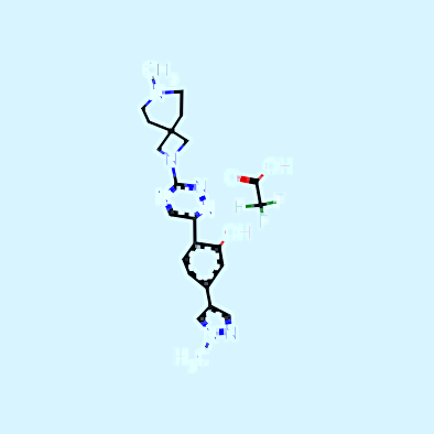 CN1CCC2(CC1)CN(c1ncc(-c3ccc(-c4cnn(C)c4)cc3O)nn1)C2.O=C(O)C(F)(F)F